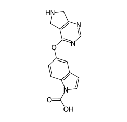 O=C(O)n1ccc2cc(Oc3ncnc4c3CNC4)ccc21